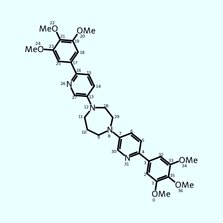 COc1cc(-c2ccc(N3CCCN(c4ccc(-c5cc(OC)c(OC)c(OC)c5)nc4)CC3)cn2)cc(OC)c1OC